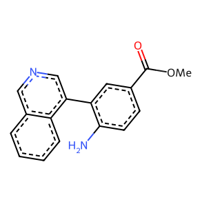 COC(=O)c1ccc(N)c(-c2cncc3ccccc23)c1